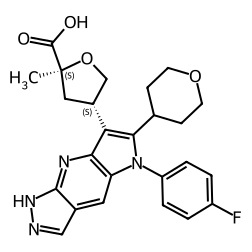 C[C@@]1(C(=O)O)C[C@@H](c2c(C3CCOCC3)n(-c3ccc(F)cc3)c3cc4cn[nH]c4nc23)CO1